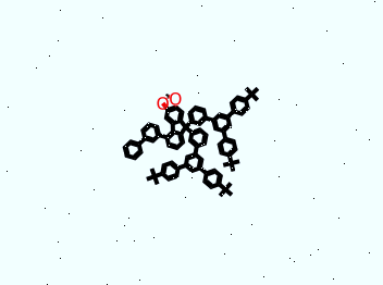 CC(C)(C)c1ccc(-c2cc(-c3ccc(C(C)(C)C)cc3)cc(-c3cccc(C4(c5cccc(-c6cc(-c7ccc(C(C)(C)C)cc7)cc(-c7ccc(C(C)(C)C)cc7)c6)c5)c5cc6c(cc5-c5c(-c7cccc(-c8ccccc8)c7)cccc54)OCO6)c3)c2)cc1